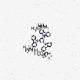 C[Si](C)(C)c1ccc2c(c1)c1ccccc1n2-c1cc(-n2c3ccccc3c3cc([Si](C)(C)C)ccc32)cc(-n2c3ccccc3c3cc([Si](C)(C)C)ccc32)c1